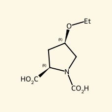 CCO[C@@H]1C[C@H](C(=O)O)N(C(=O)O)C1